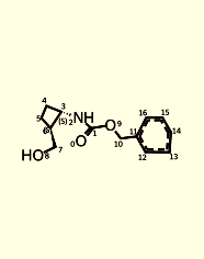 O=C(N[C@H]1CC[C@@H]1CO)OCc1ccccc1